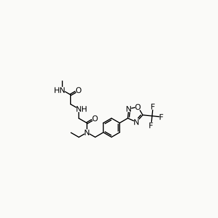 CCN(Cc1ccc(-c2noc(C(F)(F)F)n2)cc1)C(=O)CNCC(=O)NC